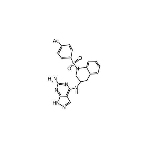 CC(=O)c1ccc(S(=O)(=O)N2CC(Nc3nc(N)nc4[nH]ncc34)Cc3ccccc32)cc1